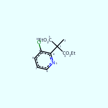 CCOC(=O)C(C)(C(=O)OCC)c1ncccc1Cl